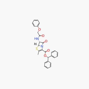 CC1=C(C(=O)OC(c2ccccc2)c2ccccc2)N2C(=O)[C@@H](NC(=O)COc3ccccc3)[C@@H]2S1